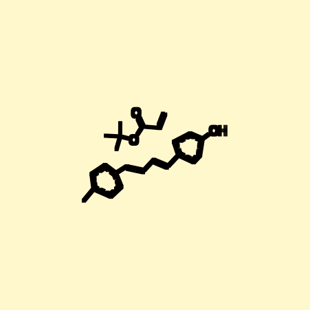 C=CC(=O)OC(C)(C)C.Cc1ccc(C=CC=Cc2ccc(O)cc2)cc1